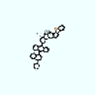 CC1(C)c2ccc(-c3c4ccccc4c(-c4ccc(C5=CC=CCC5)c5ccccc45)c4ccccc34)cc2-c2cc3ccc4c5ccccc5sc4c3cc21